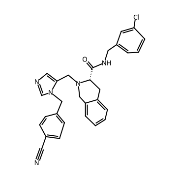 N#Cc1ccc(Cn2cncc2CN2Cc3ccccc3C[C@H]2C(=O)NCc2cccc(Cl)c2)cc1